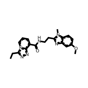 CCc1nnc2c(C(=O)NCCc3nc4cc(OC)ccc4n3C)cccn12